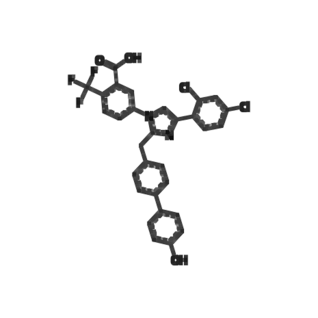 O=C(O)c1cc(-n2cc(-c3ccc(Cl)cc3Cl)nc2Cc2ccc(-c3ccc(O)cc3)cc2)ccc1C(F)(F)F